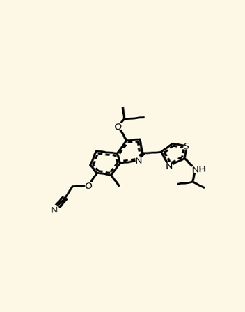 Cc1c(OCC#N)ccc2c(OC(C)C)cc(-c3csc(NC(C)C)n3)nc12